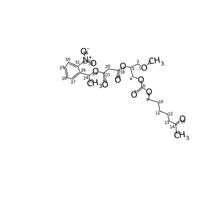 COCC(COC(=O)OCCCCCC(C)=O)OC(=O)CC(=O)OC(C)c1ccccc1[N+](=O)[O-]